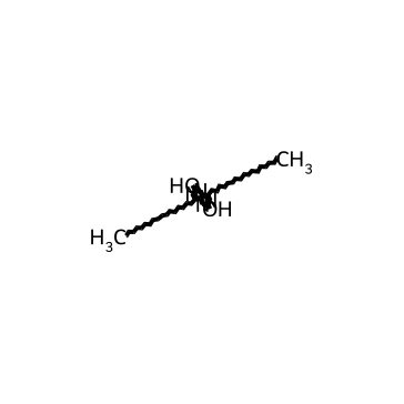 CCCCCCCCCCCCCCCCCCc1nc(O)nc2c(CCCCCCCCCCCCCCCCCC)nc(O)nc12